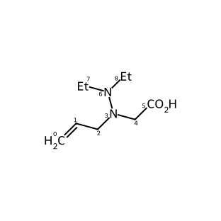 C=CCN(CC(=O)O)N(CC)CC